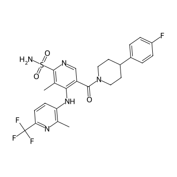 Cc1nc(C(F)(F)F)ccc1Nc1c(C(=O)N2CCC(c3ccc(F)cc3)CC2)cnc(S(N)(=O)=O)c1C